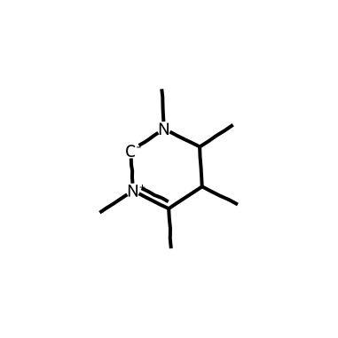 CC1=[N+](C)[CH-]N(C)C(C)C1C